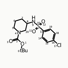 CC(C)(C)OC(=O)N1CCCC(NS(=O)(=O)c2ccc(Cl)cc2)C1